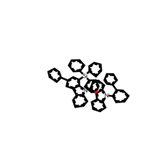 c1ccc(-c2cc([Si](c3ccccc3)(c3ccccc3)c3ccccc3)c3c(c2)c2ccccc2n3-c2cccc3c2c2ccccc2n3-c2ccccc2-c2ccccc2)cc1